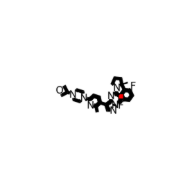 Cc1nc(N2CCN(C3COC3)CC2)ccc1-c1cnn2ccc(N3CCC[C@]3(C)c3cc(F)ccc3F)nc12